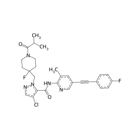 Cc1cc(C#Cc2ccc(F)cc2)cnc1NC(=O)c1c(Cl)cnn1CC1(F)CCN(C(=O)C(C)C)CC1